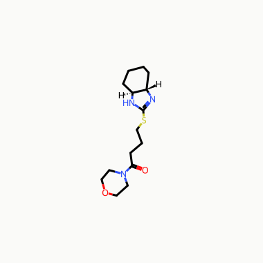 O=C(CCCSC1=N[C@H]2CCCC[C@@H]2N1)N1CCOCC1